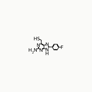 Nc1nc(CS)c2nc(-c3ccc(F)cc3)[nH]c2n1